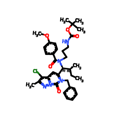 CC[C@H](C)[C@@H](c1cc2c(Cl)c(C)nn2c(=O)n1Cc1ccccc1)N(CCCNC(=O)OC(C)(C)C)C(=O)c1ccc(OC)cc1